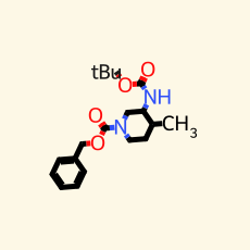 CC1CCN(C(=O)OCc2ccccc2)CC1NC(=O)OC(C)(C)C